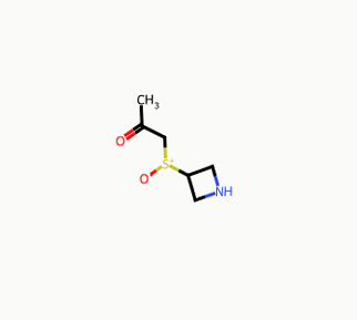 CC(=O)C[S+]([O-])C1CNC1